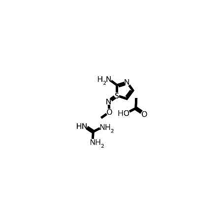 CC(=O)O.CON=S1C=CN=C1N.N=C(N)N